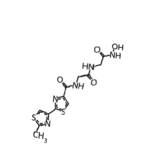 Cc1nc(-c2nc(C(=O)NCC(=O)NCC(=O)NO)cs2)cs1